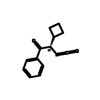 O=C=N[C@H](C(=O)c1ccccc1)C1CCC1